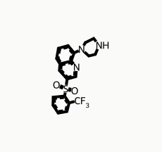 O=S(=O)(c1cnc2c(N3CCNCC3)cccc2c1)c1ccccc1C(F)(F)F